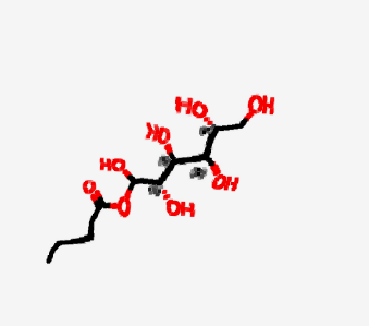 CCCC(=O)OC(O)[C@@H](O)[C@@H](O)[C@H](O)[C@H](O)CO